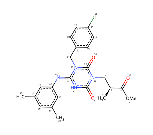 COC(=O)[C@@H](C)Cn1c(=O)[nH]/c(=N\c2cc(C)cc(C)c2)n(Cc2ccc(Cl)cc2)c1=O